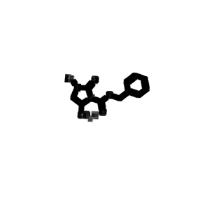 CCN1CC(C(=O)O)N(C(=O)OCc2ccccc2)C1=O